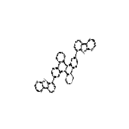 C1=Cc2c(c3ccc(-c4cccc5c4sc4ccccc45)cc3c3c4ccccc4c4ccc(-c5cccc6c5sc5ccccc56)cc4c23)CC1